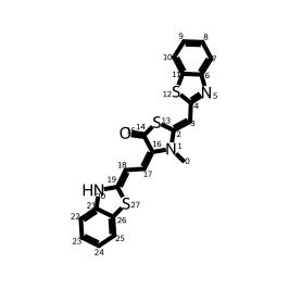 Cn1c(=Cc2nc3ccccc3s2)sc(=O)c1=CC=C1Nc2ccccc2S1